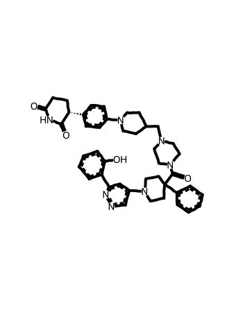 O=C1CC[C@H](c2ccc(N3CCC(CN4CCN(C(=O)C5(c6ccccc6)CCN(c6cnnc(-c7ccccc7O)c6)CC5)CC4)CC3)cc2)C(=O)N1